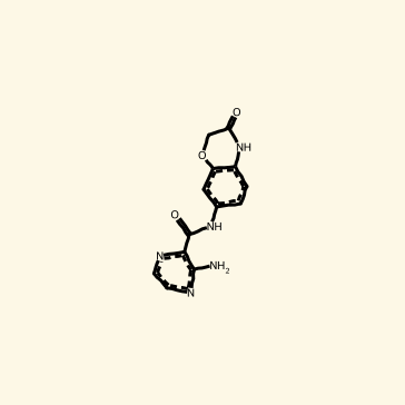 Nc1nccnc1C(=O)Nc1ccc2c(c1)OCC(=O)N2